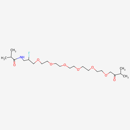 CC(C)C(=O)COCCOCCOCCOCCOCCOCC(F)CNC(=O)C(C)C